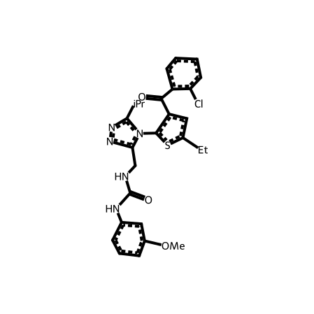 CCc1cc(C(=O)c2ccccc2Cl)c(-n2c(CNC(=O)Nc3cccc(OC)c3)nnc2C(C)C)s1